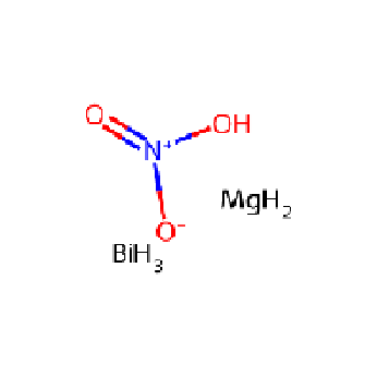 O=[N+]([O-])O.[BiH3].[MgH2]